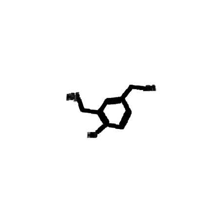 CCCCCCCCCc1ccc(O)c(CS(=O)(=O)O)c1